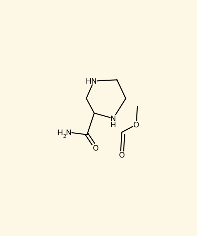 COC=O.NC(=O)C1CNCCN1